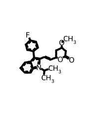 COC1CC(=O)OC(/C=C/c2c(-c3ccc(F)cc3)c3ccccc3n2C(C)C)C1